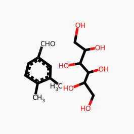 Cc1ccc(C=O)cc1C.OCC(O)C(O)C(O)C(O)CO